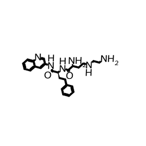 NCCNCC[C@H](N)C(=O)N[C@@H](CCc1ccccc1)C(=O)Nc1cnc2ccccc2c1